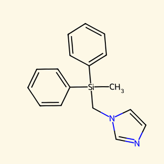 C[Si](Cn1ccnc1)(c1ccccc1)c1ccccc1